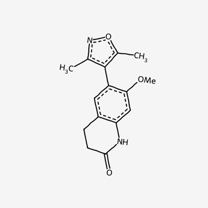 COc1cc2c(cc1-c1c(C)noc1C)CCC(=O)N2